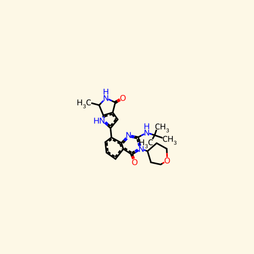 CC1NC(=O)c2cc(-c3cccc4c(=O)n(C5CCOCC5)c(NC(C)(C)C)nc34)[nH]c21